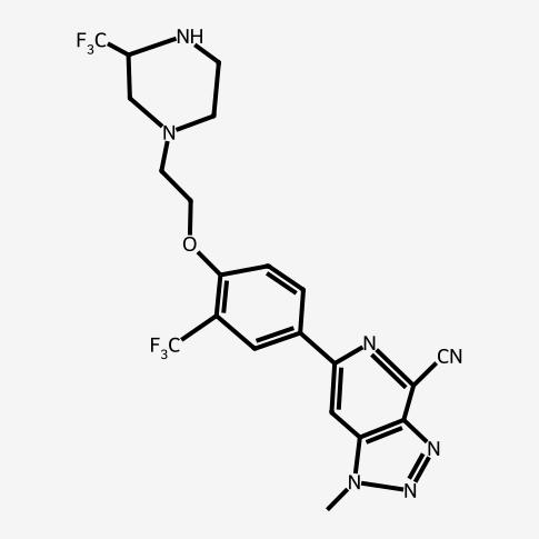 Cn1nnc2c(C#N)nc(-c3ccc(OCCN4CCNC(C(F)(F)F)C4)c(C(F)(F)F)c3)cc21